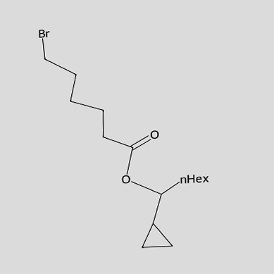 CCCCCCC(OC(=O)CCCCCBr)C1CC1